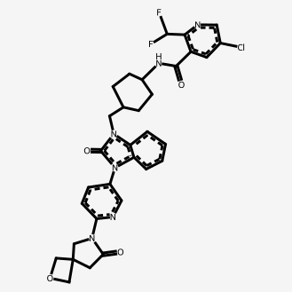 O=C(NC1CCC(Cn2c(=O)n(-c3ccc(N4CC5(COC5)CC4=O)nc3)c3ccccc32)CC1)c1cc(Cl)cnc1C(F)F